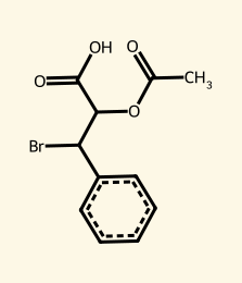 CC(=O)OC(C(=O)O)C(Br)c1ccccc1